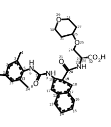 Cc1cc(C)c(NC(=O)Nc2cc3ccccc3cc2C(=O)N[C@@H](COC2CCOCC2)C(=O)O)c(C)c1